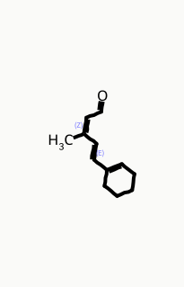 CC(=C/C=O)/C=C/C1=CCCCC1